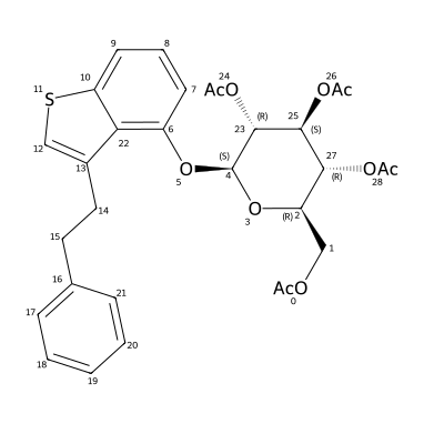 CC(=O)OC[C@H]1O[C@@H](Oc2cccc3scc(CCc4ccccc4)c23)[C@H](OC(C)=O)[C@@H](OC(C)=O)[C@@H]1OC(C)=O